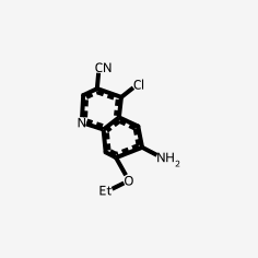 CCOc1cc2ncc(C#N)c(Cl)c2cc1N